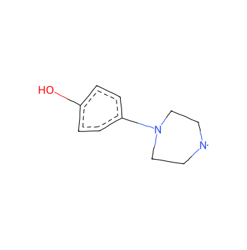 Oc1ccc(N2CC[N]CC2)cc1